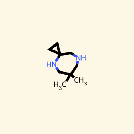 CC1(C)CNCC2(CC2)NC1